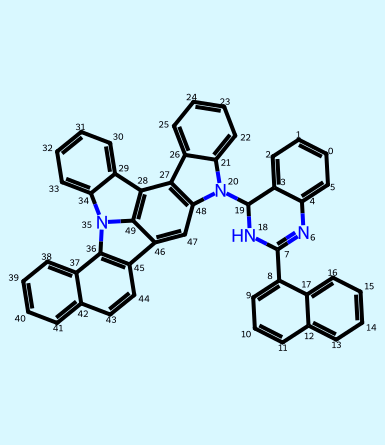 c1ccc2c(c1)N=C(c1cccc3ccccc13)NC2n1c2ccccc2c2c3c4ccccc4n4c5c6ccccc6ccc5c(cc21)c34